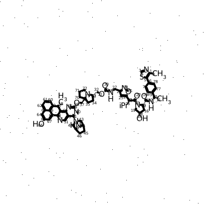 Cc1ncsc1-c1ccc([C@H](C)NC(=O)[C@@H]2C[C@@H](O)CN2C(=O)[C@H](c2cc(CNC(=O)OC[C@@H]3CC[C@]4(COc5nc(N6CC7CCC(C6)N7)c6cnc7c(c6n5)C(C)c5cccc6cc(O)cc-7c56)CCCN34)no2)C(C)C)cc1